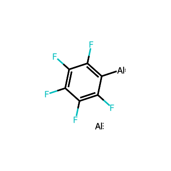 Fc1c(F)c(F)[c]([Al])c(F)c1F.[Al]